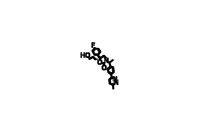 Cc1ccc(-c2ccc([C@H](C)N3CC[C@](CCCO)(c4ccc(F)cc4)OC3=O)cc2)nn1